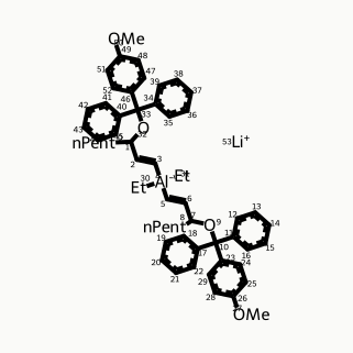 CCCCCC(/C=[CH]/[Al-](/[CH]=C/C(CCCCC)OC(c1ccccc1)(c1ccccc1)c1ccc(OC)cc1)([CH2]C)[CH2]C)OC(c1ccccc1)(c1ccccc1)c1ccc(OC)cc1.[Li+]